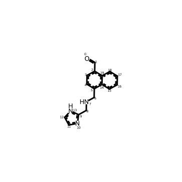 O=Cc1ccc(CNCc2ncc[nH]2)c2ccccc12